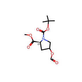 COC(=O)[C@@H]1CC(OC=O)CN1C(=O)OC(C)(C)C